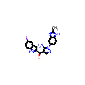 Cc1nc2cc(-n3ncc(C(=O)c4cc5cc(I)ccc5[nH]4)c3N)ccc2[nH]1